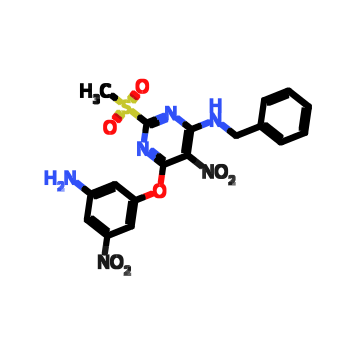 CS(=O)(=O)c1nc(NCc2ccccc2)c([N+](=O)[O-])c(Oc2cc(N)cc([N+](=O)[O-])c2)n1